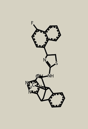 CC1(C(=O)NC2=NC(c3ccc(F)c4ccccc34)CS2)CC2c3ccccc3C1n1c(O)nnc12